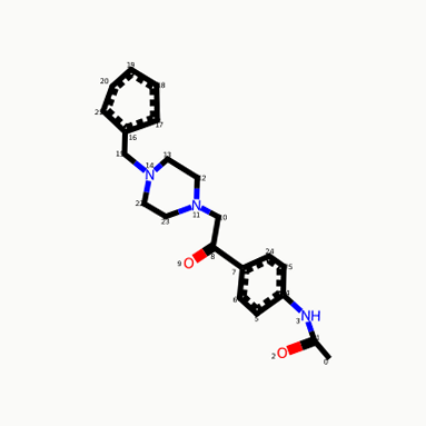 CC(=O)Nc1ccc(C(=O)CN2CCN(Cc3ccccc3)CC2)cc1